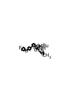 Cn1cnc(CC(NC(=O)C(C)(C)C)C(=O)Nc2cccc(-c3ccc(Oc4ccc(F)cc4)cc3)n2)c1